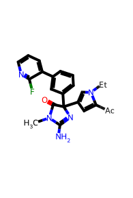 CCn1cc(C2(c3cccc(-c4cccnc4F)c3)N=C(N)N(C)C2=O)cc1C(C)=O